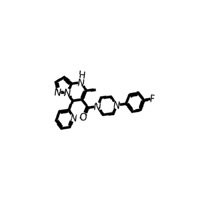 CC1=C(C(=O)N2CCN(c3ccc(F)cc3)CC2)C(c2ccccn2)n2nccc2N1